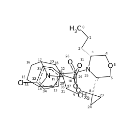 CCC[C@@H]1COC[C@H](C2(OC(=O)N3CC4CCC(C3)N4CCC)CC2)N1S(=O)(=O)c1ccc(Cl)cc1